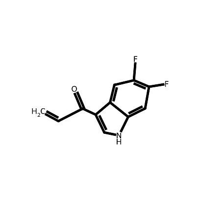 C=CC(=O)c1c[nH]c2cc(F)c(F)cc12